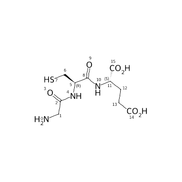 NCC(=O)N[C@@H](CS)C(=O)N[C@@H](CCC(=O)O)C(=O)O